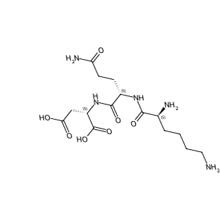 NCCCC[C@H](N)C(=O)N[C@@H](CCC(N)=O)C(=O)N[C@@H](CC(=O)O)C(=O)O